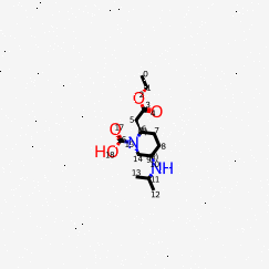 CCOC(=O)C[C@H]1CC[C@@H](NC(C)C)CN1C(=O)O